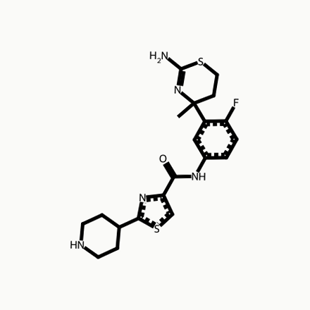 CC1(c2cc(NC(=O)c3csc(C4CCNCC4)n3)ccc2F)CCSC(N)=N1